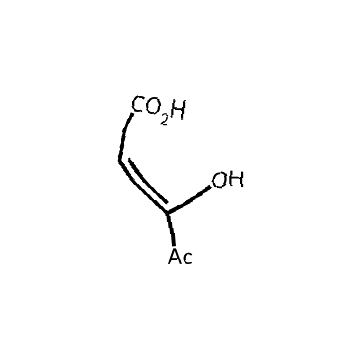 CC(=O)/C(O)=C/C(=O)O